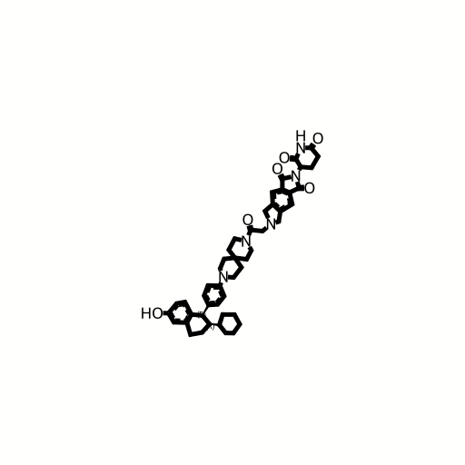 O=C1CCC(N2C(=O)c3cc4c(cc3C2=O)CN(CC(=O)N2CCC3(CC2)CCN(c2ccc([C@@H]5c6ccc(O)cc6CC[C@@H]5C5CCCCC5)cc2)CC3)C4)C(=O)N1